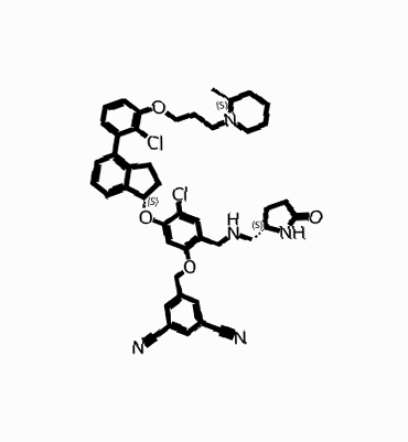 C[C@H]1CCCCN1CCCOc1cccc(-c2cccc3c2CC[C@@H]3Oc2cc(OCc3cc(C#N)cc(C#N)c3)c(CNC[C@@H]3CCC(=O)N3)cc2Cl)c1Cl